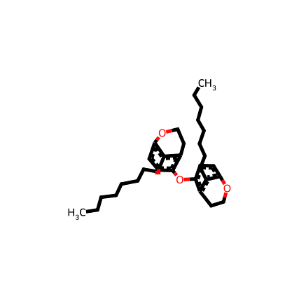 CCCCCCCCc1c2ccc(Oc3ccc4c(CCCCCCCC)c3CCO4)c1CCO2